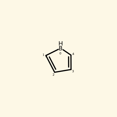 B1[C]=CC=C1